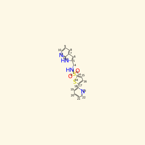 O=S(=O)(NCc1cc2cccnc2[nH]1)c1ccc(-c2ccccn2)s1